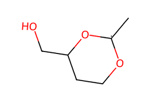 C[C]1OCCC(CO)O1